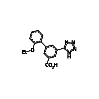 CCOc1ccccc1-c1cc(C(=O)O)cc(-c2nnn[nH]2)c1